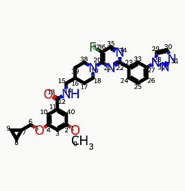 COc1cc(OCC2CC2)cc(C(=O)NCC2CCN(c3nc(-c4cccc(-n5ccnn5)c4)ncc3F)CC2)c1